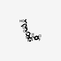 CC(O)CN(CC=CC(=O)N1CCc2c(sc3ncnc(Nc4ccc(F)c(Cl)c4)c23)C1)CC(C)O